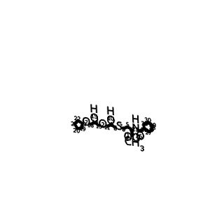 COC(=O)C(CCSCC(O)COCC(O)COC1CCCC1)NC(=O)c1ccccc1